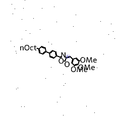 CCCCCCCCc1ccc(-c2ccc(C3=N/C(=C/c4cc(OC)c(OC)c(OC)c4)C(=O)O3)cc2)cc1